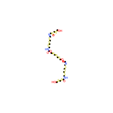 O=C(NCSCSCSC/N=C\[S+]([O-])CSCO)OCSCSCSCOO/C=N\CSCSCSCNC(=O)SCSCO